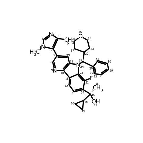 Cc1ncn(C)c1-c1cnc2c3ccc([C@@](C)(O)C4CC4)c(F)c3n([C@H](c3ccccc3)C3CCOCC3)c2c1